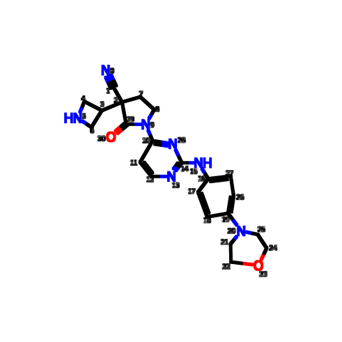 N#CC1(C2CNC2)CCN(c2ccnc(Nc3ccc(N4CCOCC4)cc3)n2)C1=O